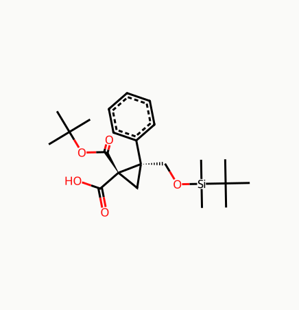 CC(C)(C)OC(=O)[C@]1(C(=O)O)C[C@]1(CO[Si](C)(C)C(C)(C)C)c1ccccc1